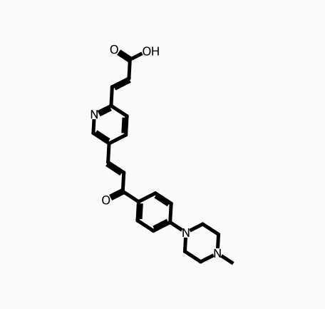 CN1CCN(c2ccc(C(=O)C=Cc3ccc(C=CC(=O)O)nc3)cc2)CC1